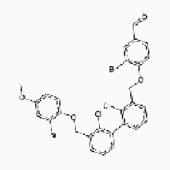 COc1ccc(OCc2cccc(-c3cccc(COc4ccc(C=O)cc4Br)c3Cl)c2Cl)c(Br)c1